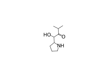 CC(C)C(=O)C(O)C1CCCN1